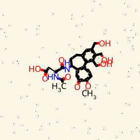 COc1ccc2c(cc1=O)C(NC(=O)[C@H](CC(=O)O)NC(C)=O)CCc1cc(CO)c(CO)c(CO)c1-2